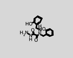 NNC(=O)C(=O)N(Cc1ccccc1O)NCc1ccccc1O